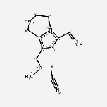 C=Cc1nc(CN(C)CC#N)c2n1CCNC2